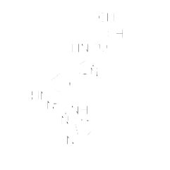 CC(C)CC(=O)Nc1cncc(-c2ccc3[nH]nc(-c4nc5c(N6CCCCC6)cccc5[nH]4)c3c2)c1